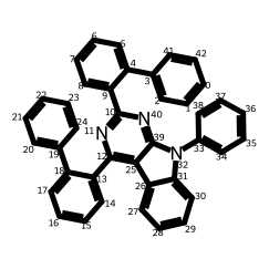 c1ccc(-c2ccccc2-c2nc(-c3ccccc3-c3ccccc3)c3c4ccccc4n(-c4ccccc4)c3n2)cc1